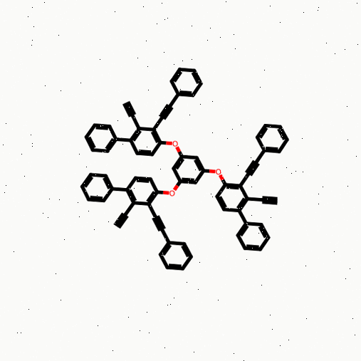 C#Cc1c(-c2ccccc2)ccc(Oc2cc(Oc3ccc(-c4ccccc4)c(C#C)c3C#Cc3ccccc3)cc(Oc3ccc(-c4ccccc4)c(C#C)c3C#Cc3ccccc3)c2)c1C#Cc1ccccc1